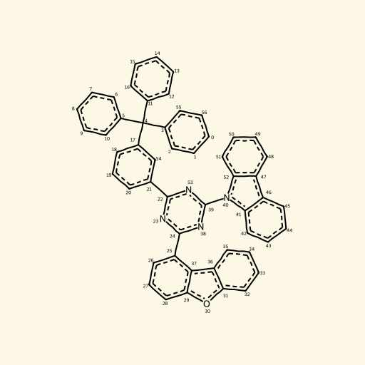 c1ccc(C(c2ccccc2)(c2ccccc2)c2cccc(-c3nc(-c4cccc5oc6ccccc6c45)nc(-n4c5ccccc5c5ccccc54)n3)c2)cc1